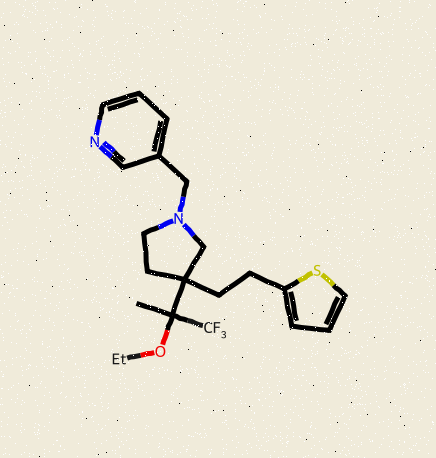 CCOC(C)(C(F)(F)F)C1(CCc2cccs2)CCN(Cc2cccnc2)C1